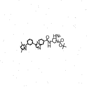 CN[C@H]1C[C@H](NC(=O)c2ccn3c(-c4cccc(-n5nc(C)cc5C)c4)cnc3c2)CN1C(=O)OC(C)(C)C